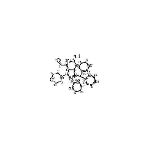 O=Cc1nc(Cl)cc2c1c(N1CCOCC1)nn2C(c1ccccc1)(c1ccccc1)c1ccccc1